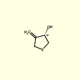 C=C1CSC[C@H]1O